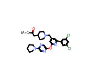 COC(=O)CC1CCN(Cc2cc(Oc3cnc(N4CCCCC4)cn3)nc(-c3cc(Cl)cc(Cl)c3)c2)CC1